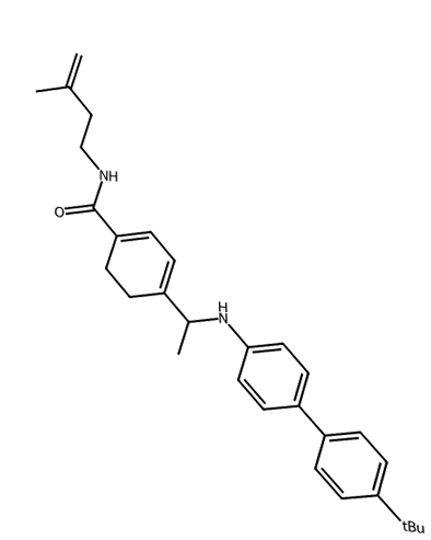 C=C(C)CCNC(=O)C1=CC=C(C(C)Nc2ccc(-c3ccc(C(C)(C)C)cc3)cc2)CC1